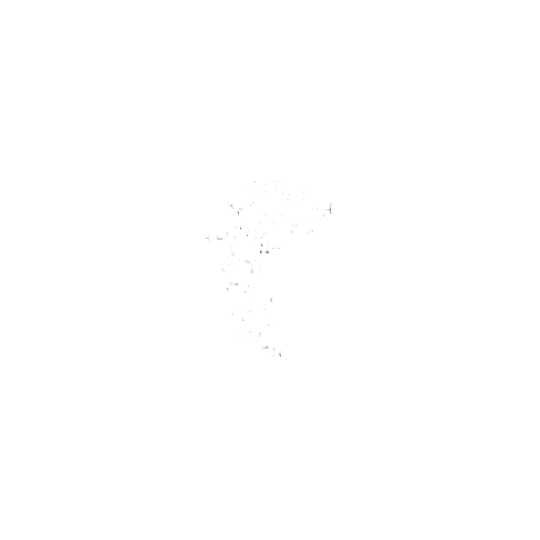 CCc1nn2c(=O)c3ccc(-c4ccc(C#N)cc4)cc3[nH]c2c1-c1ccc(F)cc1F